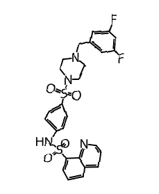 O=S(=O)(Nc1ccc(S(=O)(=O)N2CCN(Cc3cc(F)cc(F)c3)CC2)cc1)c1cccc2cccnc12